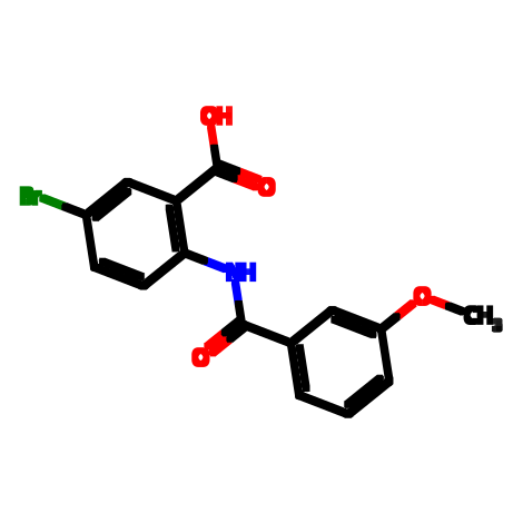 COc1cccc(C(=O)Nc2ccc(Br)cc2C(=O)O)c1